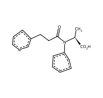 C[C@@H](C(=O)O)N(C(=O)CCc1cccnc1)c1ccccc1